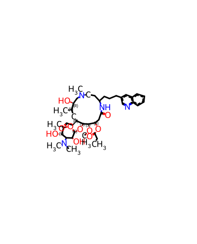 CCC(=O)O[C@@H]1CC(=O)NC(CCCc2cnc3ccccc3c2)CCN(C)C[C@H](O)[C@H](C)C[C@H](CC=O)[C@H](O[C@@H]2OC(C)[C@@H](O)C(N(C)C)C2O)[C@H]1OC